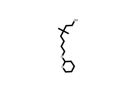 CC(C)(CCO)CCCCOC1CCCCO1